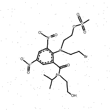 CC(C)[As](CCO)C(=O)c1cc([N+](=O)[O-])cc([N+](=O)[O-])c1N(CCBr)CCOS(C)(=O)=O